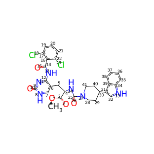 COC(=O)C(Cc1c[nH]c(=O)nc1NC(=O)c1c(Cl)cccc1Cl)NC(=O)N1CCC(c2c[nH]c3ccccc23)CC1